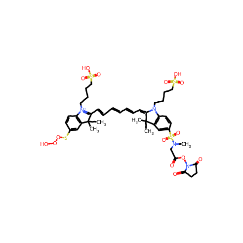 CN(CC(=O)ON1C(=O)CCC1=O)S(=O)(=O)c1ccc2c(c1)C(C)(C)\C(=C/C=C/C=C/C=C/C1=[N+](CCCCS(=O)(=O)O)c3ccc(SOOO)cc3C1(C)C)N2CCCCS(=O)(=O)O